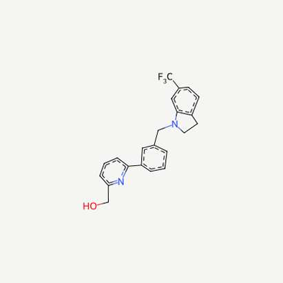 OCc1cccc(-c2cccc(CN3CCc4ccc(C(F)(F)F)cc43)c2)n1